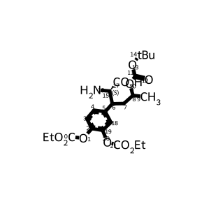 CCOC(=O)Oc1ccc(C(CC(C)OC(=O)OC(C)(C)C)[C@H](N)C(=O)O)cc1OC(=O)OCC